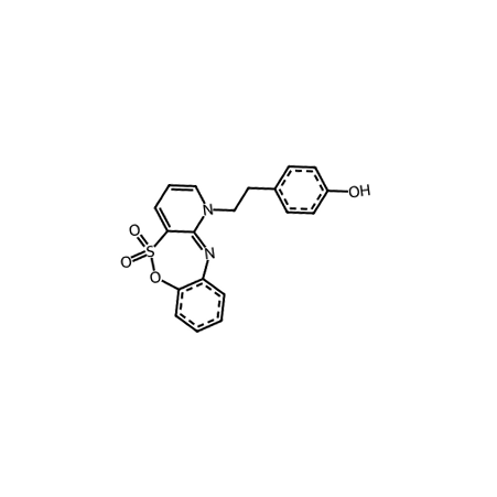 O=S1(=O)Oc2ccccc2N=C2C1=CC=CN2CCc1ccc(O)cc1